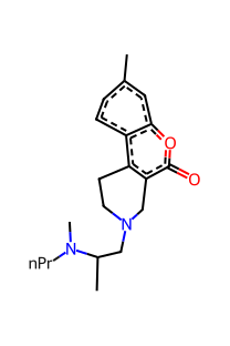 CCCN(C)C(C)CN1CCc2c(c(=O)oc3cc(C)ccc23)C1